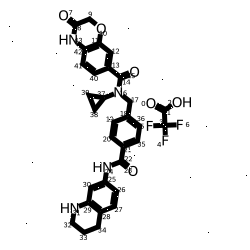 O=C(O)C(F)(F)F.O=C1COc2cc(C(=O)N(Cc3ccc(C(=O)Nc4ccc5c(c4)NCCC5)cc3)C3CC3)ccc2N1